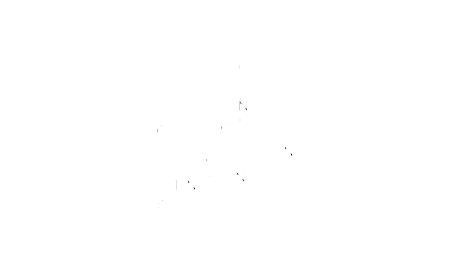 COc1ccc(Cl)cc1NC(=O)CN1CCc2nc3ccccc3c(C(=O)N3CCOCC3)c2C1